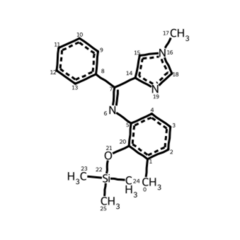 Cc1cccc(N=C(c2ccccc2)c2cn(C)cn2)c1O[Si](C)(C)C